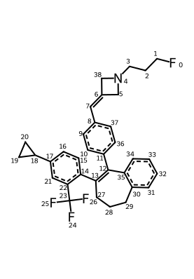 FCCCN1CC(=Cc2ccc(C3=C(c4ccc(C5CC5)cc4C(F)(F)F)CCCc4ccccc43)cc2)C1